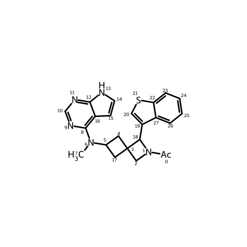 CC(=O)N1CC2(CC(N(C)c3ncnc4[nH]ccc34)C2)C1c1csc2ccccc12